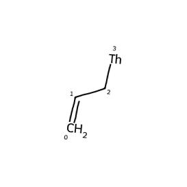 C=C[CH2][Th]